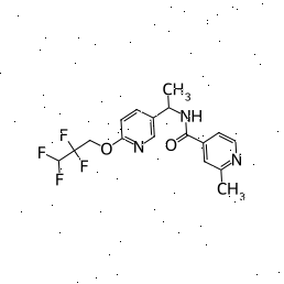 Cc1cc(C(=O)NC(C)c2ccc(OCC(F)(F)C(F)F)nc2)ccn1